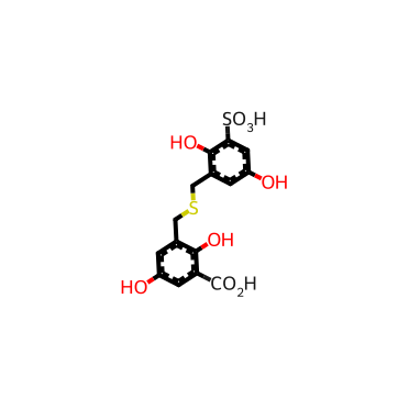 O=C(O)c1cc(O)cc(CSCc2cc(O)cc(S(=O)(=O)O)c2O)c1O